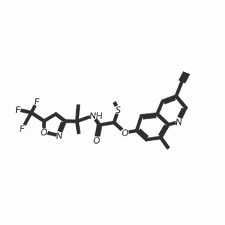 C#Cc1cnc2c(C)cc(OC(SC)C(=O)NC(C)(C)C3=NOC(C(F)(F)F)C3)cc2c1